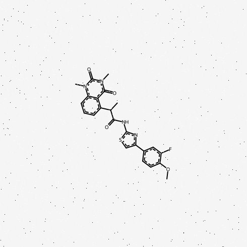 COc1ccc(-c2csc(NC(=O)C(C)c3cccc4c3c(=O)n(C)c(=O)n4C)n2)cc1F